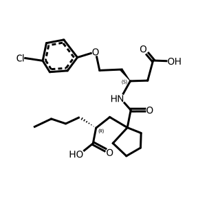 CCCC[C@H](CC1(C(=O)N[C@@H](CCOc2ccc(Cl)cc2)CC(=O)O)CCCC1)C(=O)O